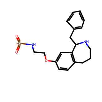 O=[SH](=O)NCCOc1ccc2c(c1)C(Cc1ccccc1)NCCC2